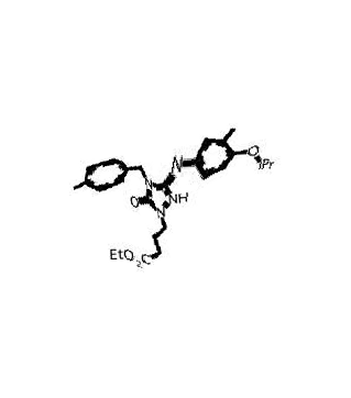 CCOC(=O)CCCn1[nH]/c(=N\c2ccc(OC(C)C)c(C)c2)n(Cc2ccc(C)cc2)c1=O